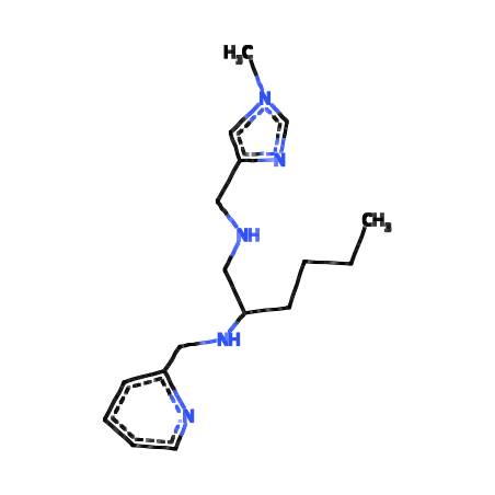 CCCCC(CNCc1cn(C)cn1)NCc1ccccn1